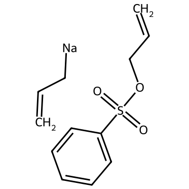 C=CCOS(=O)(=O)c1ccccc1.C=C[CH2][Na]